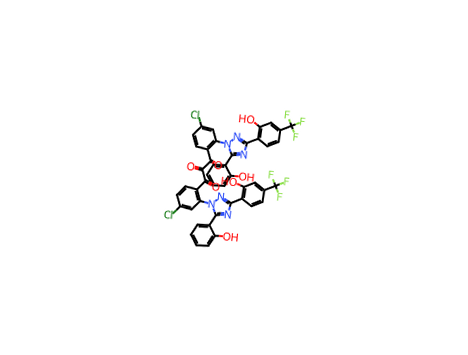 O=C(C(=O)c1ccc(Cl)cc1-n1nc(-c2ccc(C(F)(F)F)cc2O)nc1-c1ccccc1O)C(=O)c1ccc(Cl)cc1-n1nc(-c2ccc(C(F)(F)F)cc2O)nc1-c1ccccc1O